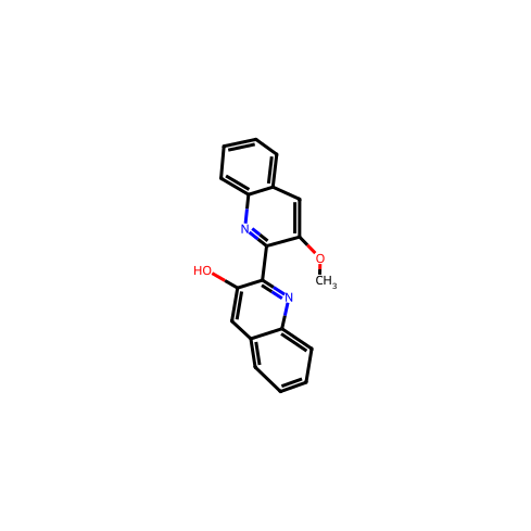 COc1cc2ccccc2nc1-c1nc2ccccc2cc1O